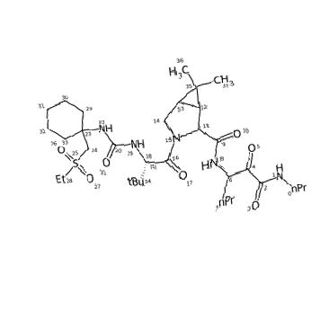 CCCNC(=O)C(=O)C(CCC)NC(=O)C1C2C(CN1C(=O)[C@@H](NC(=O)NC1(CS(=O)(=O)CC)CCCCC1)C(C)(C)C)C2(C)C